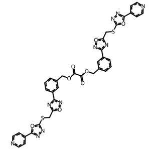 O=C(OCc1cccc(-c2noc(CSc3nnc(-c4ccncc4)o3)n2)c1)C(=O)OCc1cccc(-c2noc(CSc3nnc(-c4ccncc4)o3)n2)c1